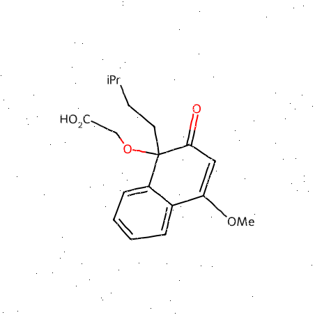 COC1=CC(=O)C(CCC(C)C)(OCC(=O)O)c2ccccc21